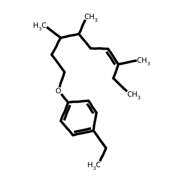 CCC(C)=CCC(C)C(C)CCOc1ccc(CC)cc1